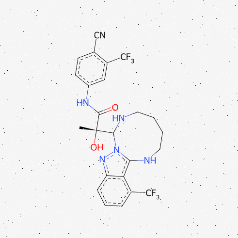 C[C@@](O)(C(=O)Nc1ccc(C#N)c(C(F)(F)F)c1)C1NCCCCNc2c3c(C(F)(F)F)cccc3nn21